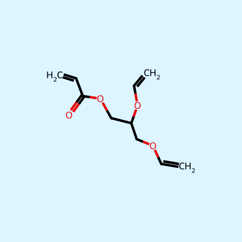 C=COCC(COC(=O)C=C)OC=C